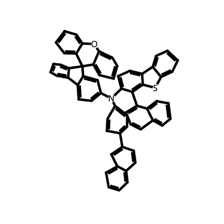 c1ccc2c(c1)Oc1ccccc1C21c2ccccc2-c2ccc(N(c3ccc(-c4ccc5ccccc5c4)cc3)c3ccc4c(sc5ccccc54)c3-c3cccc4ccccc34)cc21